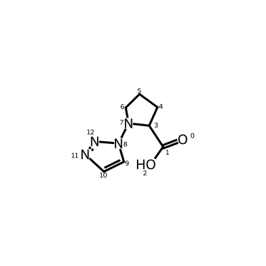 O=C(O)C1CCCN1n1ccnn1